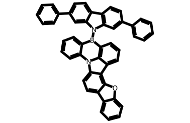 c1ccc(-c2ccc3c4ccc(-c5ccccc5)cc4n(B4c5ccccc5-n5c6ccc7c8ccccc8oc7c6c6cccc4c65)c3c2)cc1